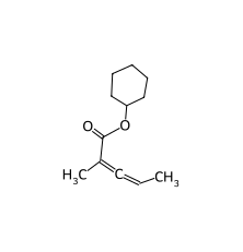 CC=C=C(C)C(=O)OC1CCCCC1